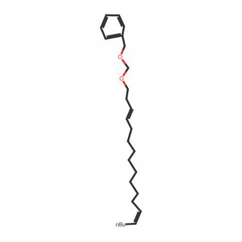 CCCC/C=C\CCCCCCCC/C=C/CCOCOCc1ccccc1